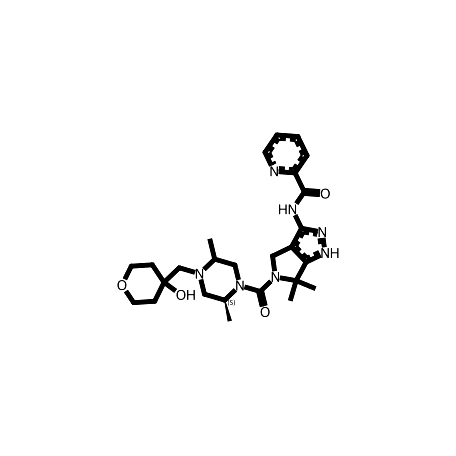 CC1CN(C(=O)N2Cc3c(NC(=O)c4ccccn4)n[nH]c3C2(C)C)[C@@H](C)CN1CC1(O)CCOCC1